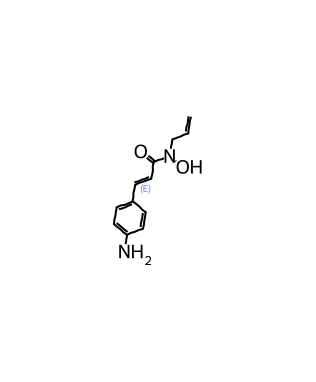 C=CCN(O)C(=O)/C=C/c1ccc(N)cc1